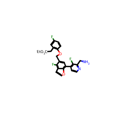 CCOC(=O)Cc1cc(F)ccc1OCc1cc(-c2ccnc(CN)c2F)c2occc2c1F